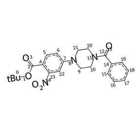 CC(C)(C)OC(=O)c1ccc(N2CCN(C(=O)c3ccccc3)CC2)cc1[N+](=O)[O-]